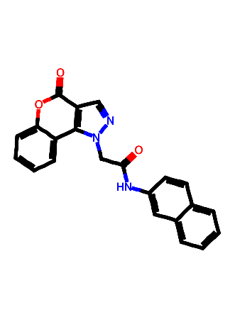 O=C(Cn1ncc2c(=O)oc3ccccc3c21)Nc1ccc2ccccc2c1